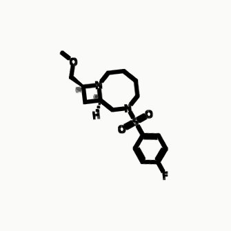 COC[C@@H]1C[C@@H]2CN(S(=O)(=O)c3ccc(F)cc3)CCCCN12